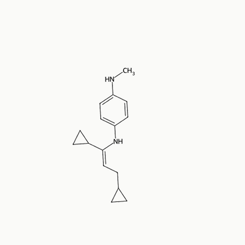 CNc1ccc(N/C(=C\CC2CC2)C2CC2)cc1